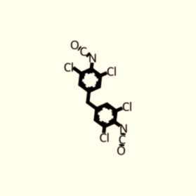 O=C=Nc1c(Cl)cc(Cc2cc(Cl)c(N=C=O)c(Cl)c2)cc1Cl